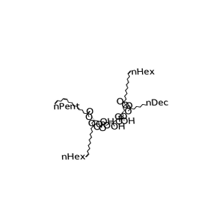 CCCCC/C=C\C/C=C\CCCCCCCC(=O)OC[C@H](COP(=O)(O)OCC(O)COP(=O)(O)OC[C@@H](COC(=O)CCCCCCCCC/C=C\CCCCCC)OC(=O)CCCCCCCCCCCCCCC)OC(=O)CCCCCCCCC/C=C\CCCCCC